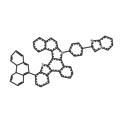 C1=CC2=CC(c3cccc4c3sc3c4c4ccccc4c4c3c3c5ccccc5ccc3n4-c3ccc(-c4cn5ccccc5n4)cc3)=C3C=CC=CC3C2C=C1